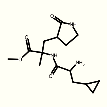 COC(=O)C(C)(CC1CCNC1=O)NC(=O)C(N)CC1CC1